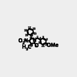 COc1ccc(CN2C(=O)[C@@H](C)[C@H]([N+](=O)[O-])[C@H]2c2ccccc2)cc1